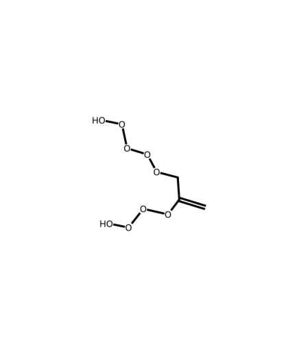 C=C(COOOOO)OOOO